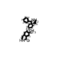 C[C@]1(Oc2cc3cc[nH]c(=O)c3cc2Cl)CC[C@](C2CC2)([C@@H](N)c2ccccc2)CC1